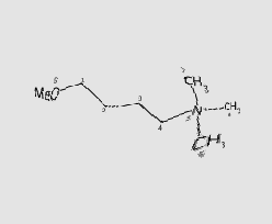 COCCCC[N+](C)(C)C